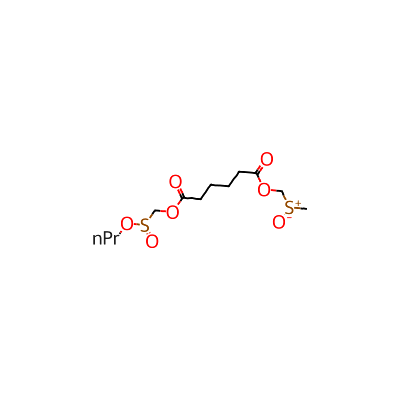 CCCOS(=O)COC(=O)CCCCC(=O)OC[S+](C)[O-]